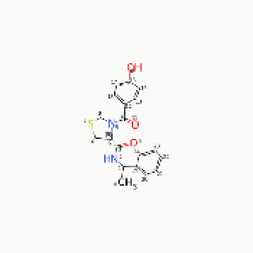 CC(NC(=O)[C@@H]1CSCN1C(=O)c1ccc(O)cc1)c1ccccc1